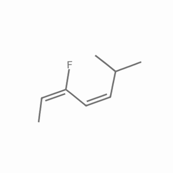 C/C=C(F)\C=C/C(C)C